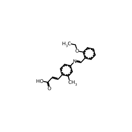 CCOc1ccccc1/C=N/c1ccc(/C=C/C(=O)O)c(C)c1